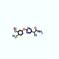 CCOc1cc(Oc2ncc(C(CC)C(N)=O)cn2)ccc1C